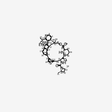 CCn1c(-c2cccnc2[C@H](C)OC)c2c3cc(ccc31)-c1csc(n1)C[C@H](NC(=O)N1[C@H](C)C[C@H]1C)C(=O)N1CCC[C@H](N1)C(=O)OCC(C)(C)C2